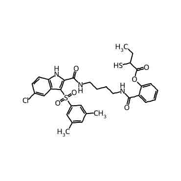 CCC(S)C(=O)Oc1ccccc1C(=O)NCCCCNC(=O)c1[nH]c2ccc(Cl)cc2c1S(=O)(=O)c1cc(C)cc(C)c1